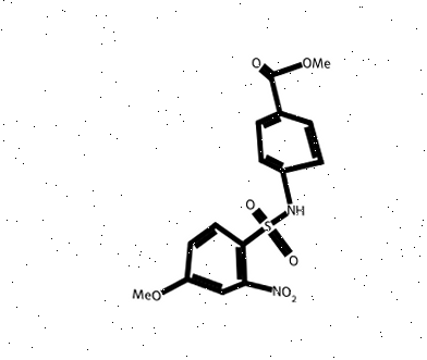 COC(=O)c1ccc(NS(=O)(=O)c2ccc(OC)cc2[N+](=O)[O-])cc1